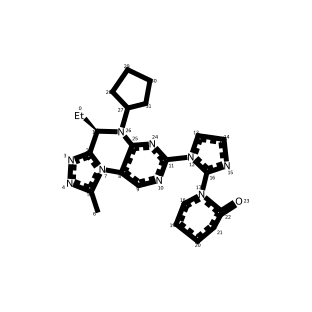 CC[C@@H]1c2nnc(C)n2-c2cnc(-n3ccnc3-n3ccccc3=O)nc2N1C1CCCC1